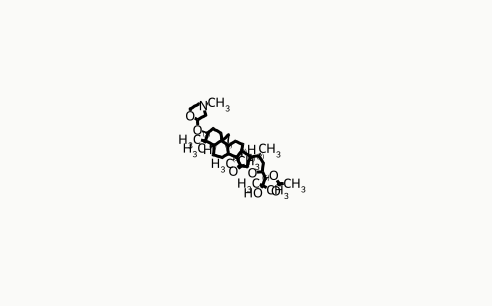 CC(=O)O[C@@H](C1C[C@@H](C)[C@H]2C(O1)C(=O)[C@@]1(C)C3CC[C@H]4C(C)(C)[C@@H](OC5CN(C)CCO5)CCC45C[C@@]35CC[C@]21C)C(C)(C)O